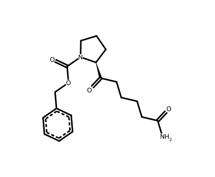 NC(=O)CCCCC(=O)[C@@H]1CCCN1C(=O)OCc1ccccc1